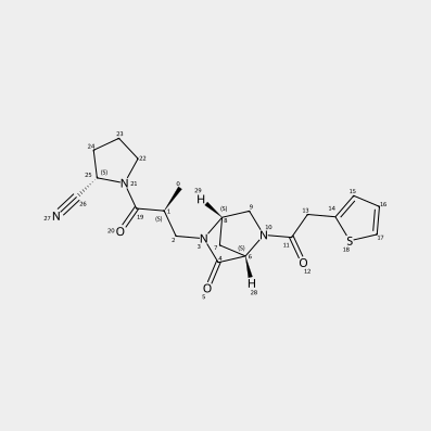 C[C@@H](CN1C(=O)[C@@H]2C[C@H]1CN2C(=O)Cc1cccs1)C(=O)N1CCC[C@H]1C#N